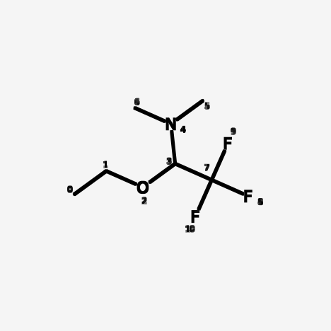 CCOC(N(C)C)C(F)(F)F